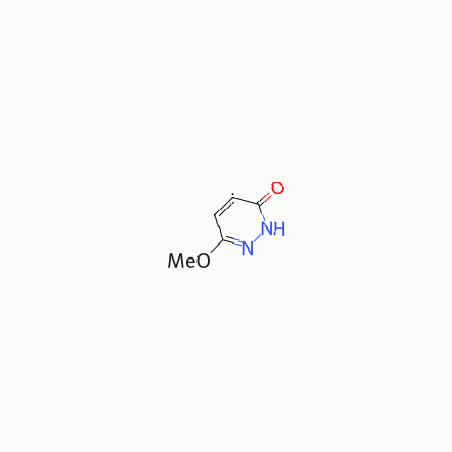 COc1c[c]c(=O)[nH]n1